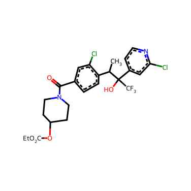 CCOC(=O)OC1CCN(C(=O)c2ccc(C(C)C(O)(c3ccnc(Cl)c3)C(F)(F)F)c(Cl)c2)CC1